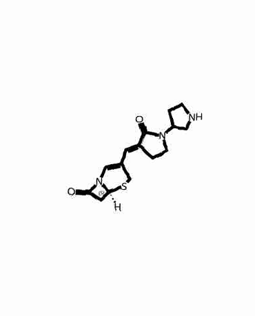 O=C1C(=CC2=CN3C(=O)C[C@@H]3SC2)CCN1C1CCNC1